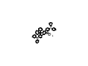 Cn1c2cc(N(c3ccccc3)c3ccccc3)ccc2c2cc3c(cc21)-c1ccc(N(c2ccccc2)c2ccccc2)cc1C3(c1ccccc1)c1ccccc1